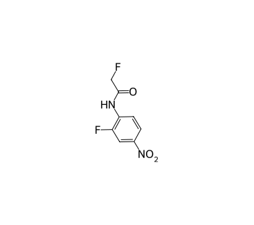 O=C(CF)Nc1ccc([N+](=O)[O-])cc1F